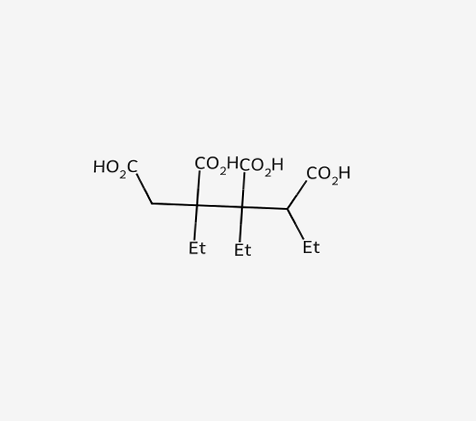 CCC(C(=O)O)C(CC)(C(=O)O)C(CC)(CC(=O)O)C(=O)O